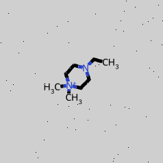 CCN1CC[N+](C)(C)CC1